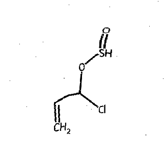 C=CC(Cl)O[SH]=O